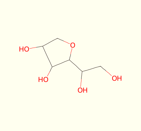 OCC(O)C1OCC(O)C1O